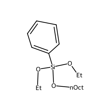 CCCCCCCCO[Si](OCC)(OCC)c1ccccc1